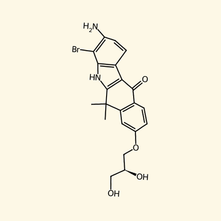 CC1(C)c2cc(OC[C@@H](O)CO)ccc2C(=O)c2c1[nH]c1c(Br)c(N)ccc21